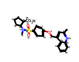 Cc1cc(COc2ccc(S(=O)(=O)N(C)C3CCCC3C(=O)O)cc2)c2ccccc2n1